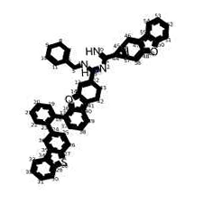 N=C(/N=C(\NCC1=CCCC=C1)C1=Cc2oc3c(-c4ccccc4-c4ccc5sc6ccccc6c5c4)cccc3c2CC1)C1C2C=c3c(oc4ccccc34)=C[C@H]21